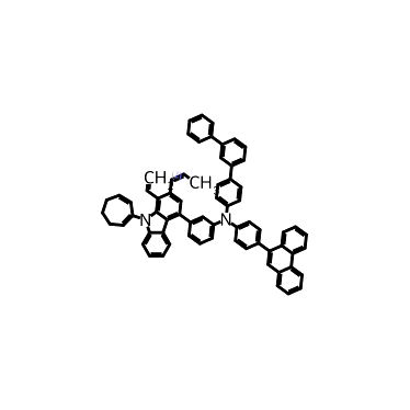 C=Cc1c(/C=C\C)cc(-c2cccc(N(c3ccc(-c4cccc(-c5ccccc5)c4)cc3)c3ccc(-c4cc5ccccc5c5ccccc45)cc3)c2)c2c3ccccc3n(C3=CCCCC=C3)c12